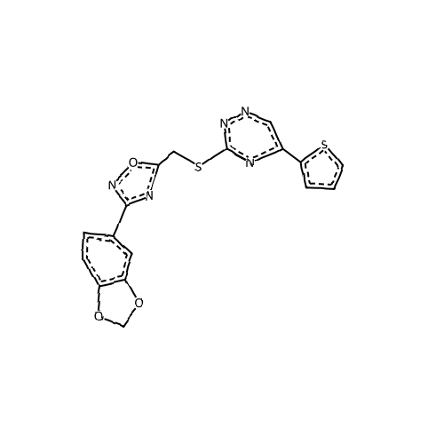 c1csc(-c2cnnc(SCc3nc(-c4ccc5c(c4)OCO5)no3)n2)c1